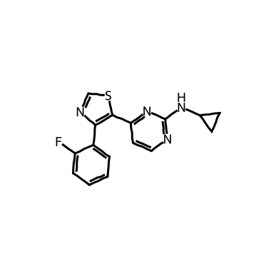 Fc1ccccc1-c1ncsc1-c1ccnc(NC2CC2)n1